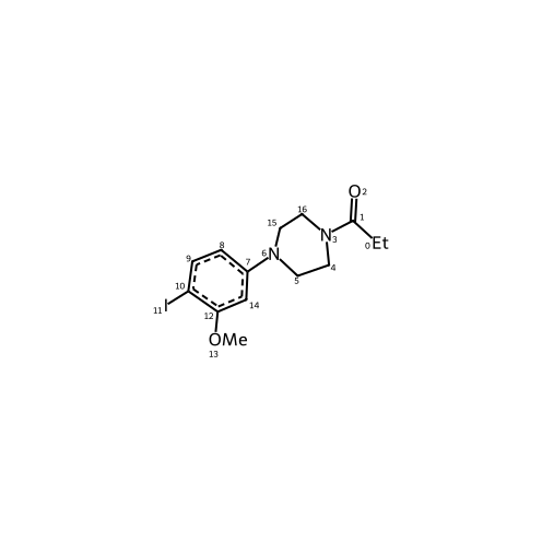 CCC(=O)N1CCN(c2ccc(I)c(OC)c2)CC1